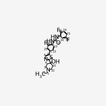 CCN1CCC(O)(c2ncc(-c3ccc(NC(=O)Nc4cc(F)ccc4F)c(F)c3)s2)CC1